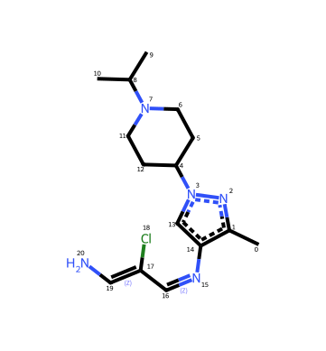 Cc1nn(C2CCN(C(C)C)CC2)cc1/N=C\C(Cl)=C\N